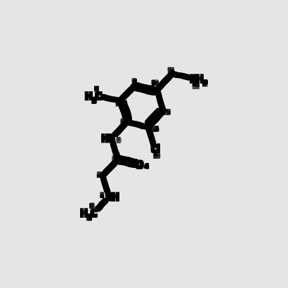 CNCC(=O)Nc1c(C)cc(CN)cc1Cl